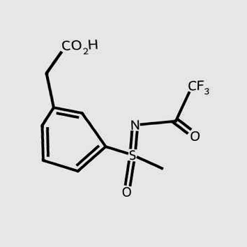 CS(=O)(=NC(=O)C(F)(F)F)c1cccc(CC(=O)O)c1